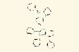 c1ccc(-c2c(-c3ccc4c(c3)c3ccccc3n4-c3ccccc3)c3cccc4c3n2-c2ccccc2-c2ccccc2-4)cc1